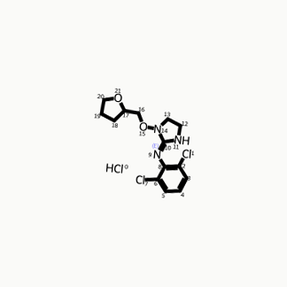 Cl.Clc1cccc(Cl)c1/N=C1\NCCN1OCC1CCCO1